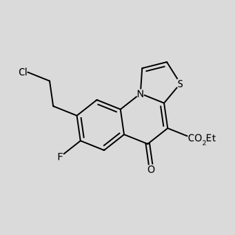 CCOC(=O)c1c(=O)c2cc(F)c(CCCl)cc2n2ccsc12